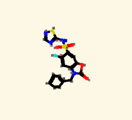 O=c1oc2cc(S(=O)(=O)Nc3ncns3)c(F)cc2n1Cc1ccccc1